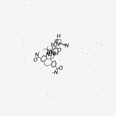 CC(C)n1nc(C2(C[C@@H](C)NCC(=O)N3[C@H](C#N)C[C@@H]4C[C@@H]43)c3ccc(C(=O)N(C)C)cc3CCc3cc(C(=O)N(C)C)ccc32)[nH]c1=O